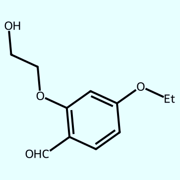 CCOc1ccc(C=O)c(OCCO)c1